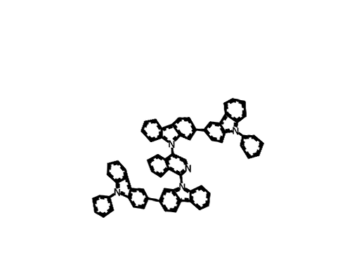 c1ccc(-n2c3ccccc3c3cc(-c4ccc5c6ccccc6n(-c6cnc(-n7c8ccccc8c8ccc(-c9ccc%10c(c9)c9ccccc9n%10-c9ccccc9)cc87)c7ccccc67)c5c4)ccc32)cc1